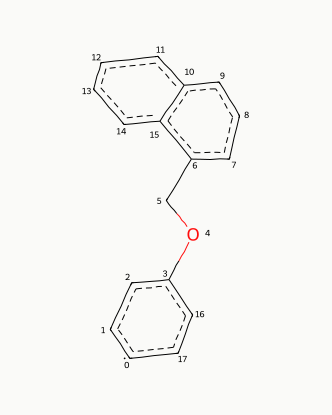 [c]1ccc(OCc2cccc3ccccc23)cc1